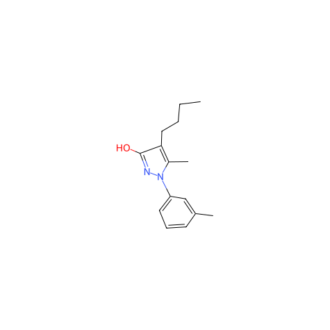 CCCCc1c(O)nn(-c2cccc(C)c2)c1C